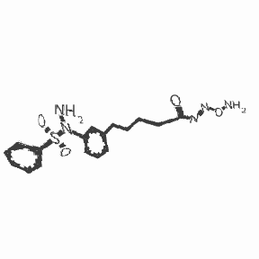 NON=NC(=O)CCCCc1cccc(N(N)S(=O)(=O)c2ccccc2)c1